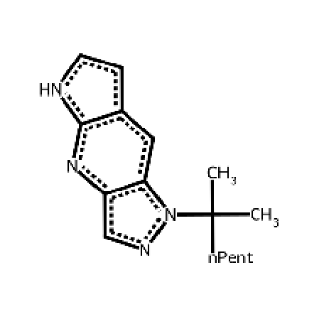 CCCCCC(C)(C)n1ncc2nc3[nH]ccc3cc21